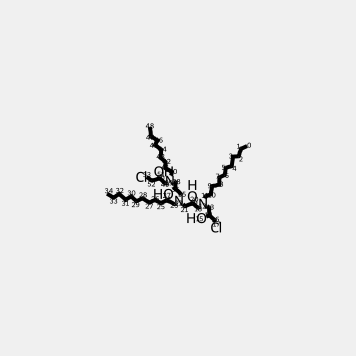 CCCCCCCCCCCCN(CC(O)CCl)CC(O)CN(CCCCCCCCCCCC)CC(O)CN(CCCCCCCCC)CC(O)CCl